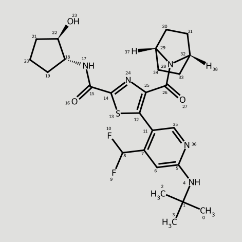 CC(C)(C)Nc1cc(C(F)F)c(-c2sc(C(=O)N[C@@H]3CCC[C@H]3O)nc2C(=O)N2[C@H]3CC[C@@H]2CC3)cn1